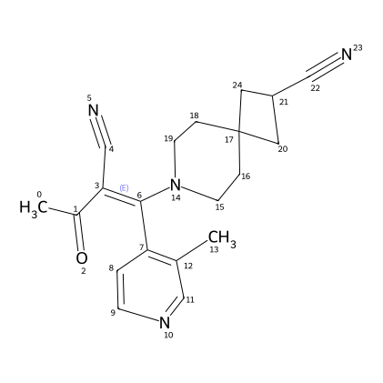 CC(=O)/C(C#N)=C(\c1ccncc1C)N1CCC2(CC1)CC(C#N)C2